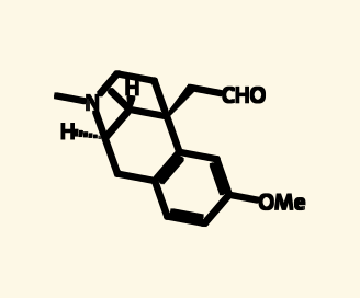 COc1ccc2c(c1)[C@@]1(CC=O)CCN(C)[C@H](C2)[C@@H]1C